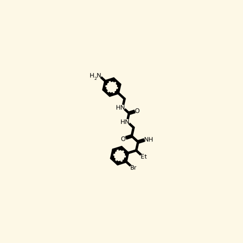 CCC(C(=N)C(=O)CNC(=O)NCc1ccc(N)cc1)c1ccccc1Br